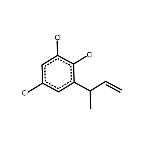 [CH2]C(C=C)c1cc(Cl)cc(Cl)c1Cl